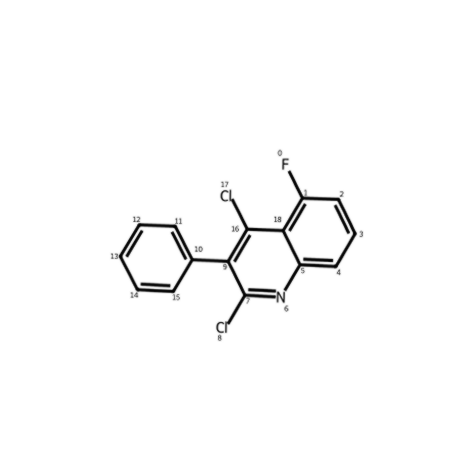 Fc1cccc2nc(Cl)c(-c3ccccc3)c(Cl)c12